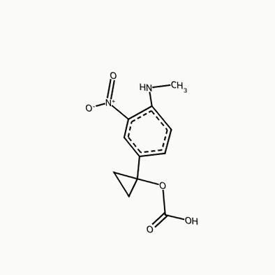 CNc1ccc(C2(OC(=O)O)CC2)cc1[N+](=O)[O-]